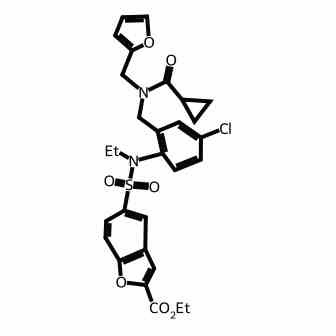 CCOC(=O)c1cc2cc(S(=O)(=O)N(CC)c3ccc(Cl)cc3CN(Cc3ccco3)C(=O)C3CC3)ccc2o1